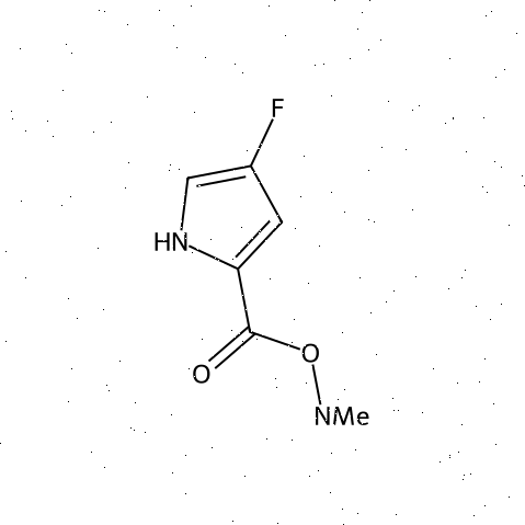 CNOC(=O)c1cc(F)c[nH]1